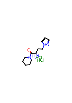 Cl.Cl.NC(CCn1cccn1)C(=O)N1CCCCC1